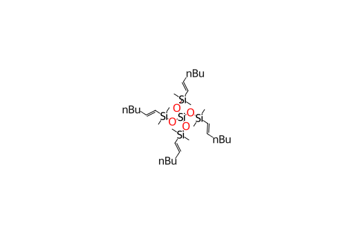 CCCC/C=C/[Si](C)(C)O[Si](O[Si](C)(C)/C=C/CCCC)(O[Si](C)(C)/C=C/CCCC)O[Si](C)(C)/C=C/CCCC